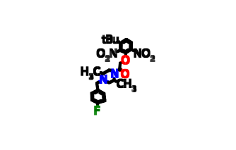 CC1CN(C(=O)COc2c([N+](=O)[O-])ccc(C(C)(C)C)c2[N+](=O)[O-])C(C)CN1Cc1ccc(F)cc1